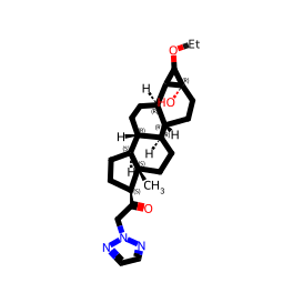 CCOC1C2[C@@H]3CC[C@@H]4[C@H](CC[C@]5(C)[C@@H](C(=O)Cn6nccn6)CC[C@@H]45)[C@H]3CC[C@]12O